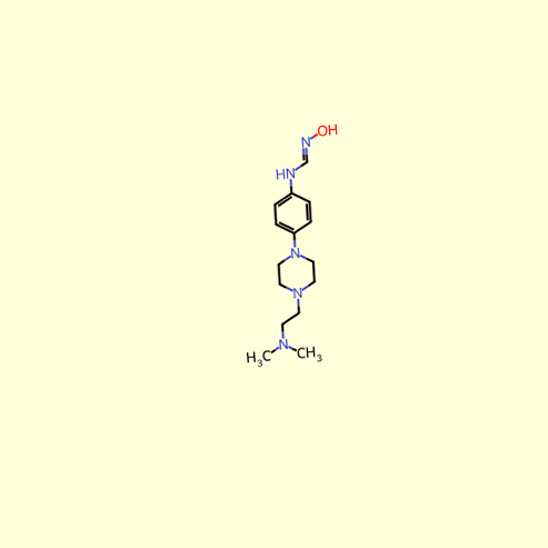 CN(C)CCN1CCN(c2ccc(N/C=N/O)cc2)CC1